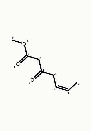 C/C=C\CC(=O)CC(=O)OC